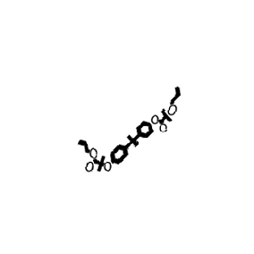 C=CCOC(=O)C(C)(C)Oc1ccc(C(C)(C)c2ccc(OC(=O)C(C)(C)OCC=C)cc2)cc1